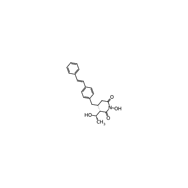 C[C@@H](O)[C@H]1C(=O)N(O)C(=O)CC1Cc1ccc(/C=C/c2ccccc2)cc1